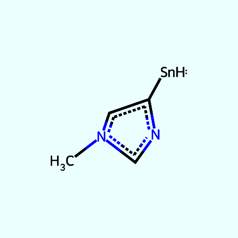 Cn1cn[c]([SnH])c1